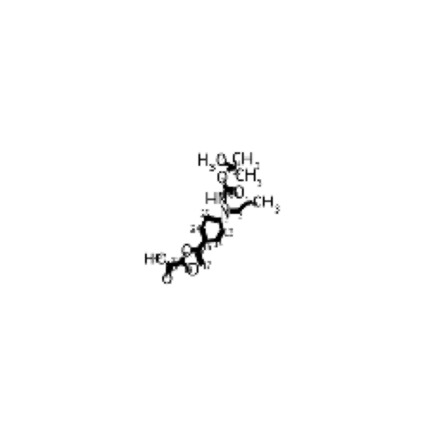 CCCN(NC(=O)OC(C)(C)C)c1ccc(C2=COC(C(=O)O)O2)cc1